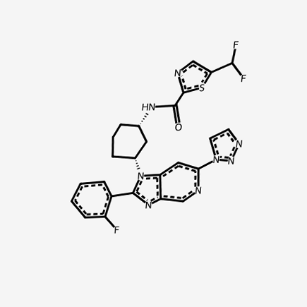 O=C(N[C@H]1CCC[C@@H](n2c(-c3ccccc3F)nc3cnc(-n4ccnn4)cc32)C1)c1ncc(C(F)F)s1